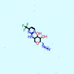 [N-]=[N+]=NC[C@@H]1OCC(Nc2nccc(C(F)(F)F)n2)C(O)C1O